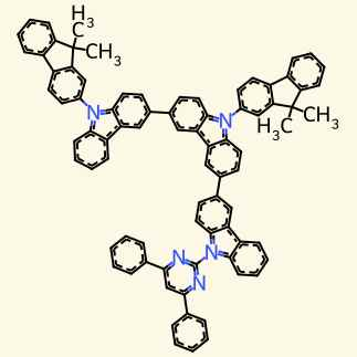 CC1(C)c2ccccc2-c2ccc(-n3c4ccccc4c4cc(-c5ccc6c(c5)c5cc(-c7ccc8c(c7)c7ccccc7n8-c7nc(-c8ccccc8)cc(-c8ccccc8)n7)ccc5n6-c5ccc6c(c5)C(C)(C)c5ccccc5-6)ccc43)cc21